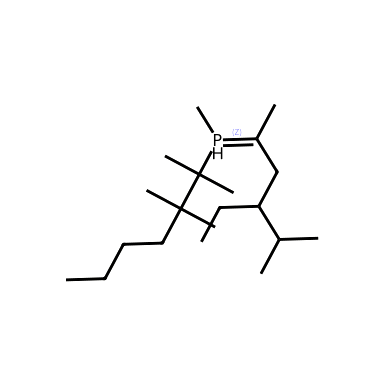 CCCCC(C)(C)C(C)(C)/[PH](C)=C(/C)CC(CC)C(C)C